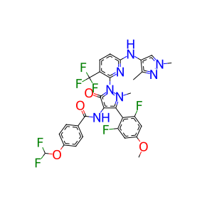 COc1cc(F)c(-c2c(NC(=O)c3ccc(OC(F)F)cc3)c(=O)n(-c3nc(Nc4cn(C)nc4C)ccc3C(F)(F)F)n2C)c(F)c1